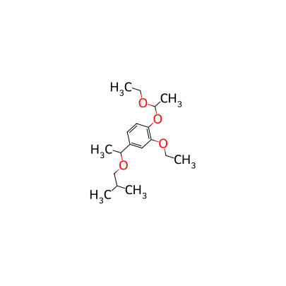 CCOc1cc(C(C)OCC(C)C)ccc1OC(C)OCC